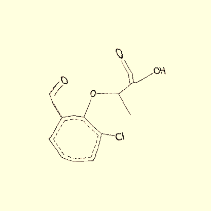 CC(Oc1c(Cl)cccc1C=O)C(=O)O